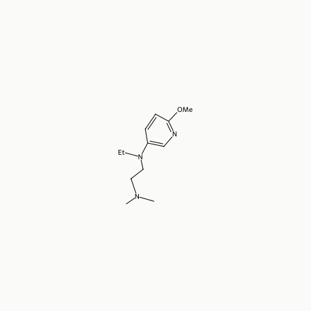 CCN(CCN(C)C)c1ccc(OC)nc1